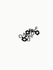 O=C(Nc1ccccc1F)Oc1ccc2nc(-c3c(Cl)cccc3Cl)[nH]c2c1